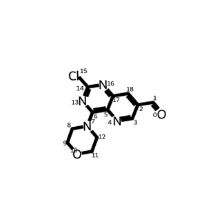 O=Cc1cnc2c(N3CCOCC3)nc(Cl)nc2c1